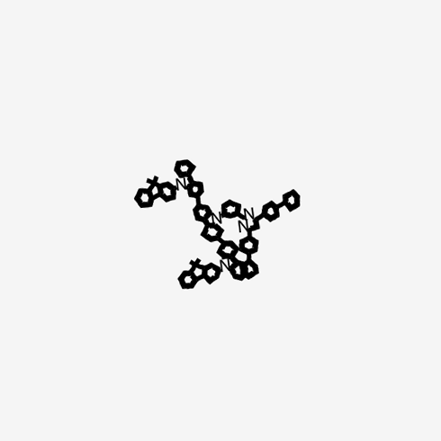 CC1(C)c2ccccc2-c2ccc(-n3c4ccccc4c4ccc(-c5ccc6c7ccc(-c8ccc9c%10ccccc%10n(-c%10ccc%11c(c%10)C(C)(C)c%10ccccc%10-%11)c9c8)cc7n(-c7cccc(-c8nc(-c9ccc(-c%10ccccc%10)cc9)cc(-c9ccc(-c%10ccccc%10)cc9)n8)c7)c6c5)cc43)cc21